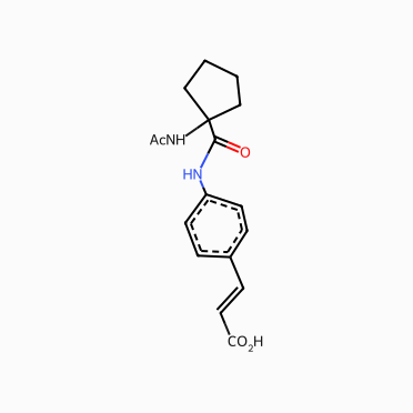 CC(=O)NC1(C(=O)Nc2ccc(/C=C/C(=O)O)cc2)CCCC1